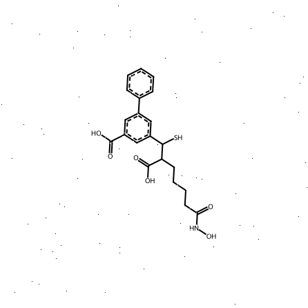 O=C(CCCCC(C(=O)O)C(S)c1cc(C(=O)O)cc(-c2ccccc2)c1)NO